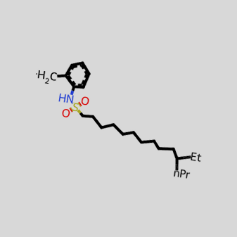 [CH2]c1ccccc1NS(=O)(=O)CCCCCCCCCCC(CC)CCC